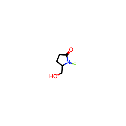 O=C1CCC(CO)N1F